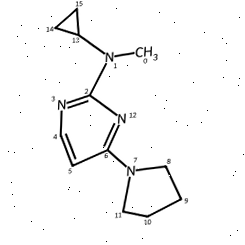 CN(c1nccc(N2CCCC2)n1)C1CC1